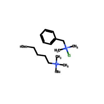 CCCCCCCCCCCCCC[N+](C)(C)CCCC.C[N+](C)(Cl)Cc1ccccc1